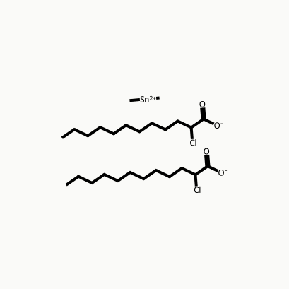 CCCCCCCCCCC(Cl)C(=O)[O-].CCCCCCCCCCC(Cl)C(=O)[O-].[CH3][Sn+2][CH3]